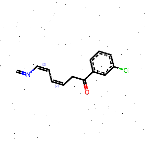 C=N/C=C\C=C/CC(=O)c1cccc(Cl)c1